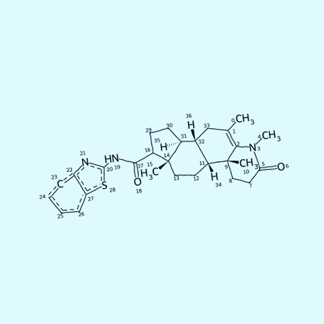 CC1=C2N(C)C(=O)CC[C@]2(C)[C@@H]2CC[C@]3(C)C(C(=O)Nc4nc5ccccc5s4)CC[C@H]3[C@@H]2C1